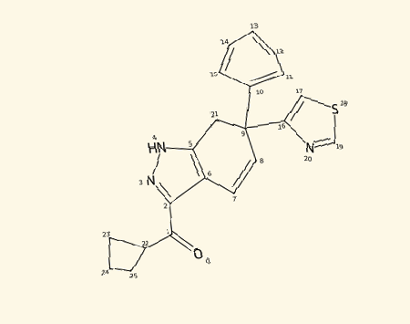 O=C(c1n[nH]c2c1C=CC(c1ccccc1)(c1cscn1)C2)C1CCC1